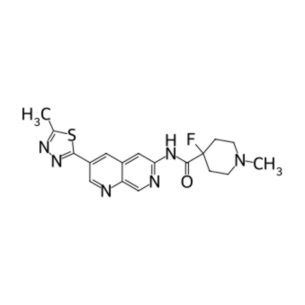 Cc1nnc(-c2cnc3cnc(NC(=O)C4(F)CCN(C)CC4)cc3c2)s1